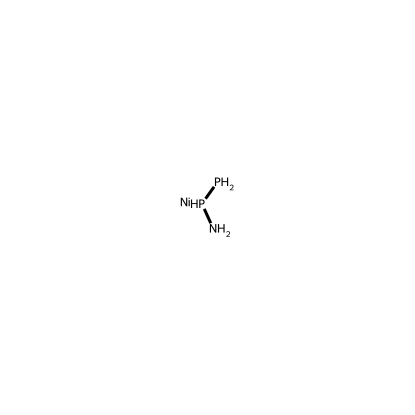 NPP.[Ni]